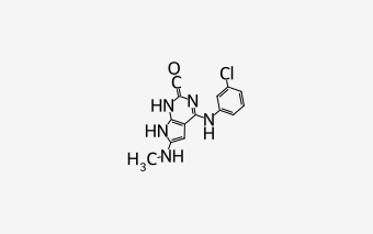 CNc1cc2c([nH]1)NC(=C=O)N=C2Nc1cccc(Cl)c1